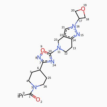 CC(C)C(=O)N1CCC(c2noc(N3CCc4nn(C5COC5)cc4C3)n2)CC1